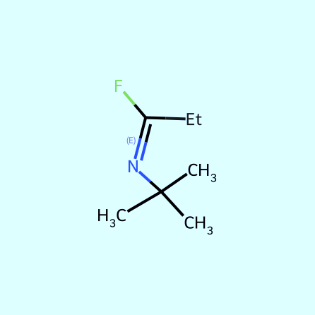 CC/C(F)=N\C(C)(C)C